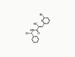 CCC(NC(=O)/C(C#N)=C/c1cccc(Br)n1)c1ccccc1